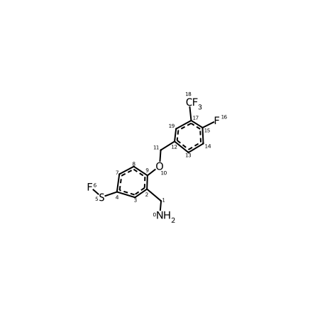 NCc1cc(SF)ccc1OCc1ccc(F)c(C(F)(F)F)c1